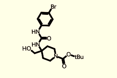 CC(C)(C)OC(=O)N1CCC(CO)(NC(=O)Nc2ccc(Br)cc2)CC1